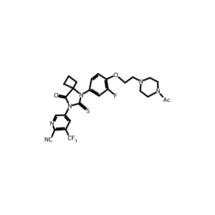 CC(=O)N1CCN(CCOc2ccc(N3C(=S)N(c4cnc(C#N)c(C(F)(F)F)c4)C(=O)C34CCC4)cc2F)CC1